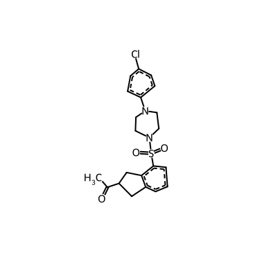 CC(=O)C1Cc2cccc(S(=O)(=O)N3CCN(c4ccc(Cl)cc4)CC3)c2C1